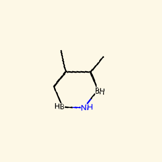 CC1BNBCC1C